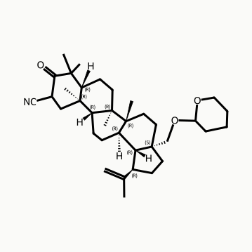 C=C(C)[C@@H]1CC[C@]2(COC3CCCCO3)CC[C@]3(C)[C@H](CC[C@@H]4[C@@]5(C)CC(C#N)C(=O)C(C)(C)[C@@H]5CC[C@]43C)[C@@H]12